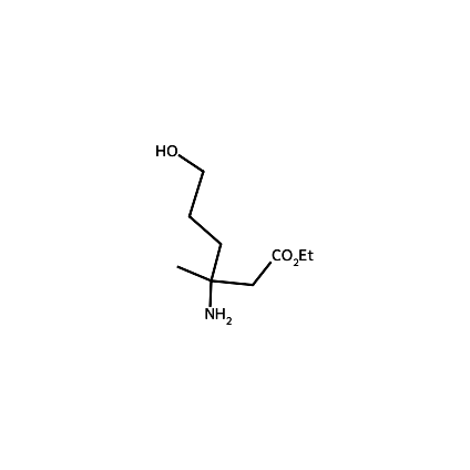 CCOC(=O)CC(C)(N)CCCO